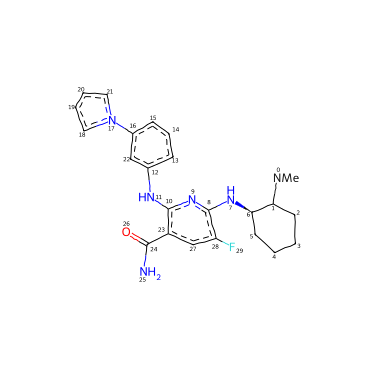 CNC1CCCC[C@H]1Nc1nc(Nc2cccc(-n3cccc3)c2)c(C(N)=O)cc1F